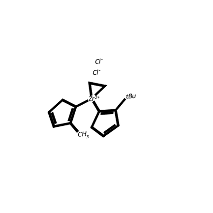 CC1=[C]([Zr+2]2([C]3=C(C(C)(C)C)C=CC3)[CH2][CH2]2)CC=C1.[Cl-].[Cl-]